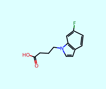 O=C(O)CCCn1ccc2ccc(F)cc21